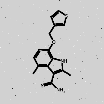 Cc1[nH]c2c(OCc3ccsc3)ccc(C)c2c1C(N)=S